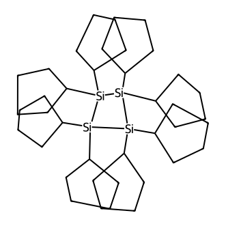 C1CCC([Si]2(C3CCCC3)[Si](C3CCCC3)(C3CCCC3)[Si](C3CCCC3)(C3CCCC3)[Si]2(C2CCCC2)C2CCCC2)C1